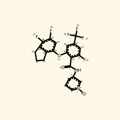 O=C(Nc1ccc[n+]([O-])c1)c1c(F)cc(C(F)(F)F)cc1Oc1cc(F)c(F)c2c1CCC2